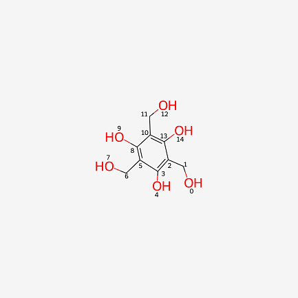 OCc1c(O)c(CO)c(O)c(CO)c1O